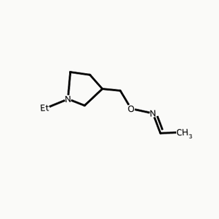 C/C=N/OCC1CCN(CC)C1